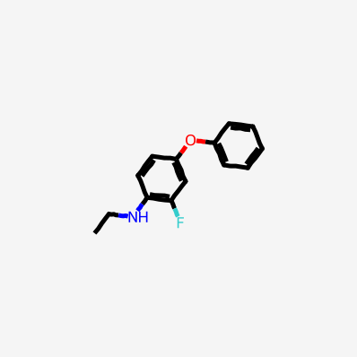 CCNc1ccc(Oc2ccccc2)cc1F